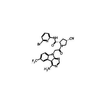 N#C[C@H]1C[C@@H](C(=O)Nc2cccc(Br)n2)N(C(=O)Cn2c3ccc(C(F)(F)F)cc3c3c(N)ncnc32)C1